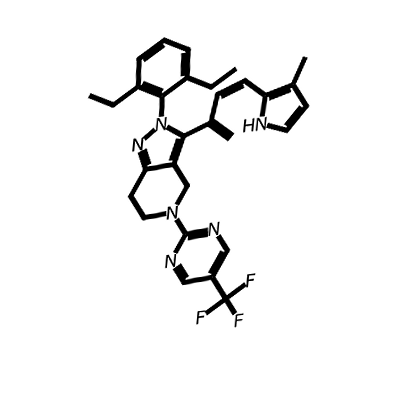 C=C(/C=C\c1[nH]ccc1C)c1c2c(nn1-c1c(CC)cccc1CC)CCN(c1ncc(C(F)(F)F)cn1)C2